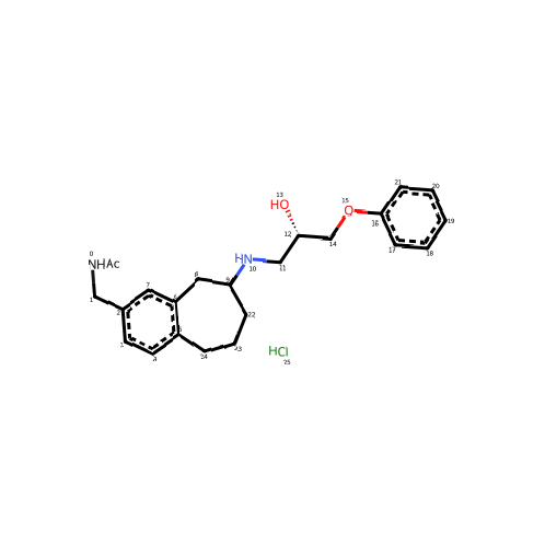 CC(=O)NCc1ccc2c(c1)CC(NC[C@H](O)COc1ccccc1)CCC2.Cl